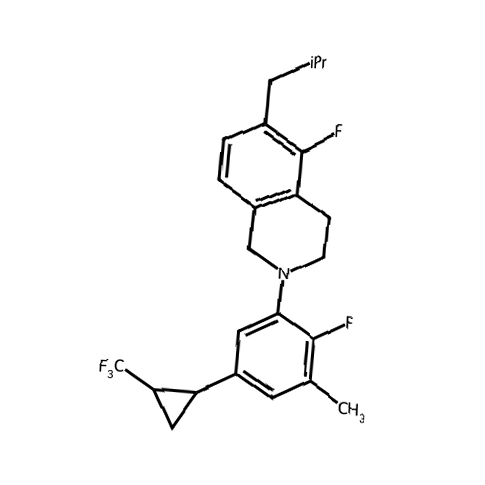 Cc1cc(C2CC2C(F)(F)F)cc(N2CCc3c(ccc(CC(C)C)c3F)C2)c1F